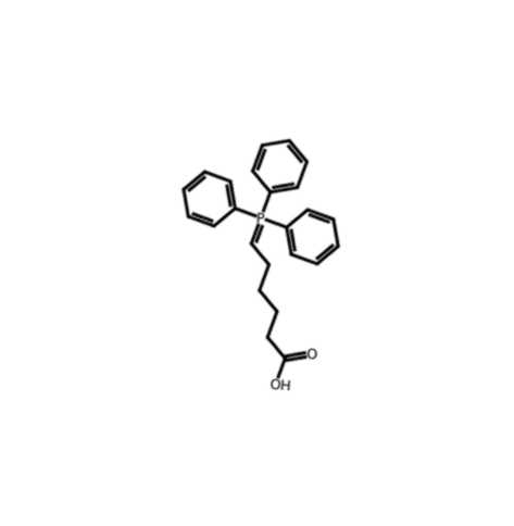 O=C(O)CCCCC=P(c1ccccc1)(c1ccccc1)c1ccccc1